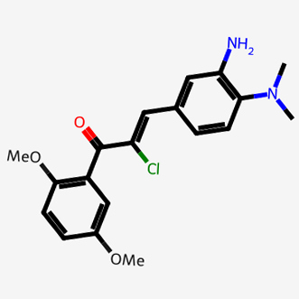 COc1ccc(OC)c(C(=O)C(Cl)=Cc2ccc(N(C)C)c(N)c2)c1